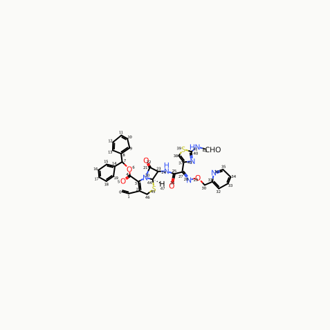 C=CC1=C(C(=O)OC(c2ccccc2)c2ccccc2)N2C(=O)C(NC(=O)/C(=N/OCc3ccccn3)c3csc(NC=O)n3)[C@H]2SC1